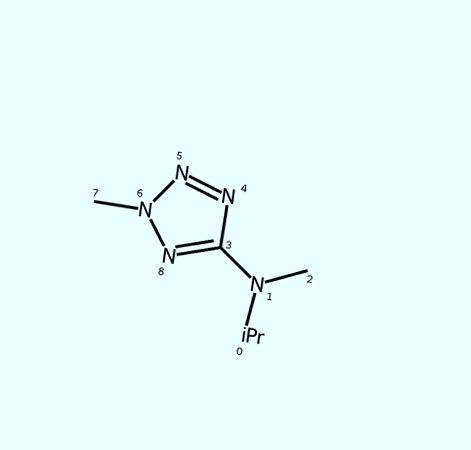 CC(C)N(C)c1nnn(C)n1